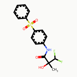 CC(O)(C(=O)Nc1ccc(S(=O)(=O)c2ccccc2)cc1)C(F)F